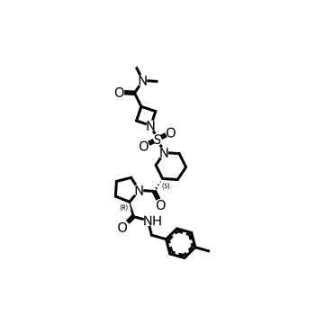 Cc1ccc(CNC(=O)[C@H]2CCCN2C(=O)[C@H]2CCCN(S(=O)(=O)N3CC(C(=O)N(C)C)C3)C2)cc1